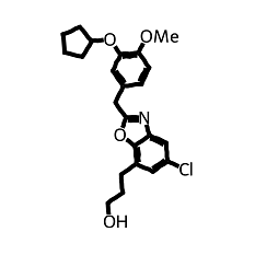 COc1ccc(Cc2nc3cc(Cl)cc(CCCO)c3o2)cc1OC1CCCC1